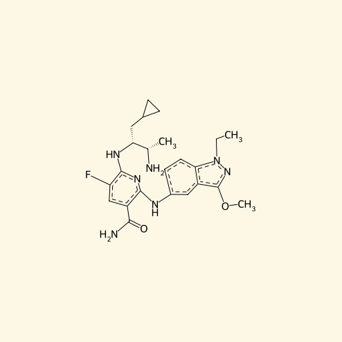 CCn1nc(OC)c2cc(Nc3nc(N[C@H](CC4CC4)[C@H](C)N)c(F)cc3C(N)=O)ccc21